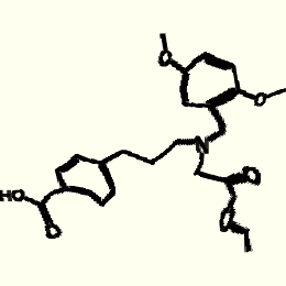 CCOC(=O)CN(CCCc1ccc(C(=O)O)cc1)Cc1cc(OC)ccc1OC